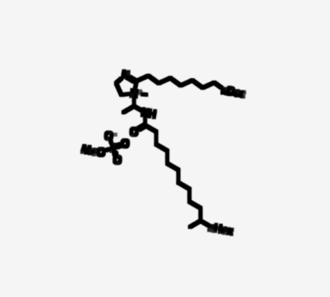 CCCCCCCCCCCCCCCCCC1=NCC[N+]1(C)C(C)NC(=O)CCCCCCCCCC(C)CCCCCC.COS(=O)(=O)[O-]